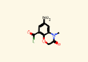 CN1C(=O)COc2c(C(=O)Cl)cc([N+](=O)[O-])cc21